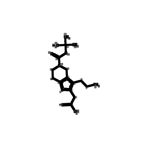 CCCc1c(CC(=O)O)sc2c1CN(C(=O)OC(C)(C)C)CC2